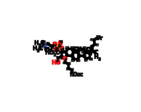 CCCCCCCCCCCCCCOC(CO)C(OP(=O)([O-])OCC[N+](C)(C)C)(C(=O)O)C1CC[C@@]2(C)C(=CCC3C2CC[C@@]2(C)C3CC[C@@H]2[C@H](C)CCCC(C)C)C1